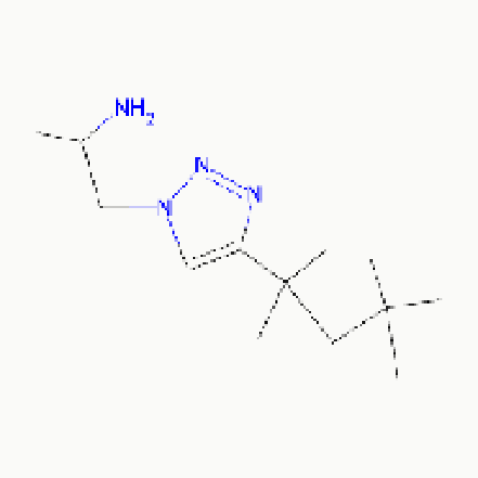 CC(N)Cn1cc(C(C)(C)CC(C)(C)C)nn1